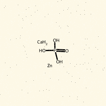 O=P(O)(O)O.[CaH2].[Zn]